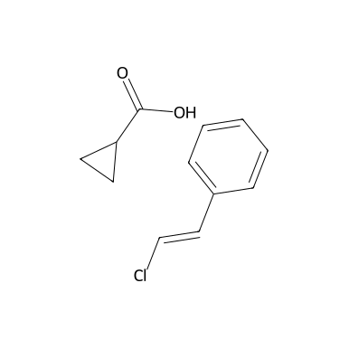 ClC=Cc1ccccc1.O=C(O)C1CC1